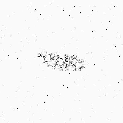 C[C@]12CCC(=O)C=C1CCC1C2CC[C@]2(C)C(n3ccc4ccccc43)=CCC12